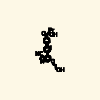 CC(C)C(O)C(=O)N1CCN(c2ccc(-c3cc(OCCCO)cn4ncc(C#N)c34)cn2)CC1